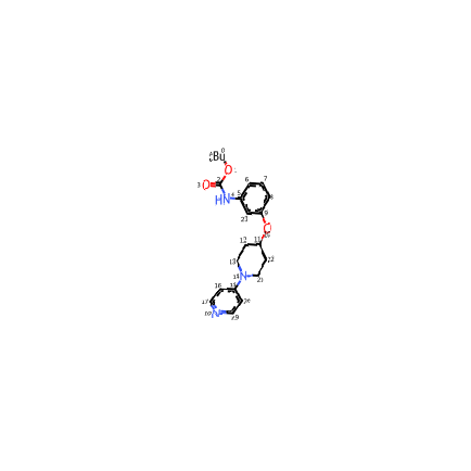 CC(C)(C)OC(=O)Nc1cccc(OC2CCN(c3ccncc3)CC2)c1